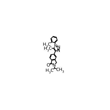 Cc1ccccc1-n1nnc(-c2ccc3c(c2)CN(C(C)C)C3=O)c1C